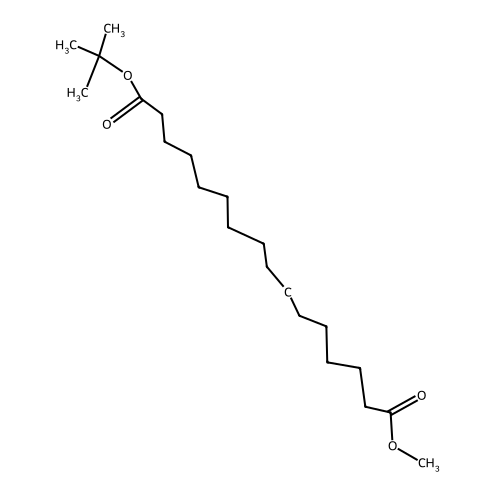 COC(=O)CCCCCCCCCCCCCCC(=O)OC(C)(C)C